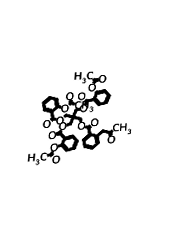 CC(=O)Cc1ccccc1C(=O)OCC(COC(=O)c1ccccc1OC(C)=O)(COC(=O)c1ccccc1OC(C)=O)COC(=O)c1ccccc1OC(C)=O